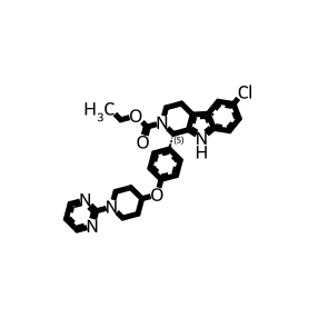 CCOC(=O)N1CCc2c([nH]c3ccc(Cl)cc23)[C@@H]1c1ccc(OC2CCN(c3ncccn3)CC2)cc1